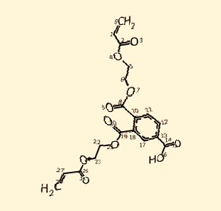 C=CC(=O)OCCOC(=O)c1ccc(C(=O)O)cc1C(=O)OCCOC(=O)C=C